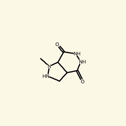 CN1NCC2C(=O)NNC(=O)C21